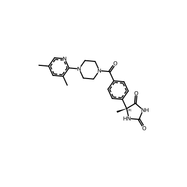 Cc1cnc(N2CCN(C(=O)c3ccc([C@@]4(C)NC(=O)NC4=O)cc3)CC2)c(C)c1